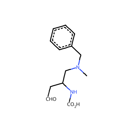 CN(Cc1ccccc1)CC(CC=O)NC(=O)O